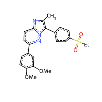 CCS(=O)(=O)c1ccc(-c2c(C)nc3ccc(-c4ccc(OC)c(OC)c4)nn23)cc1